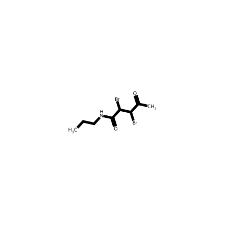 CCCNC(=O)C(Br)C(Br)C(C)=O